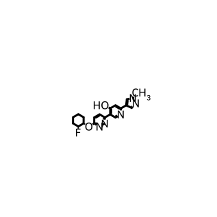 Cn1cc(-c2cc(O)c(-c3ccc(O[C@@H]4CCCC[C@@H]4F)nn3)cn2)cn1